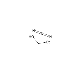 CCCO.[N-]=[N+]=[N-]